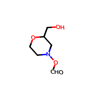 O=CON1CCOC(CO)C1